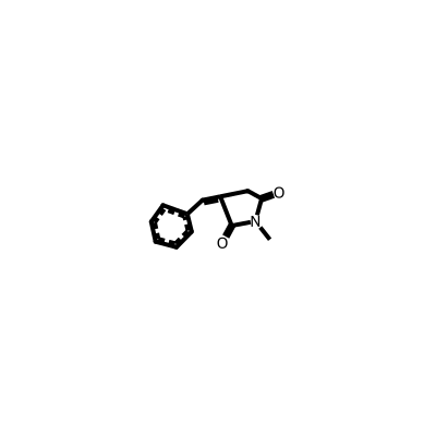 CN1C(=O)CC(=Cc2ccccc2)C1=O